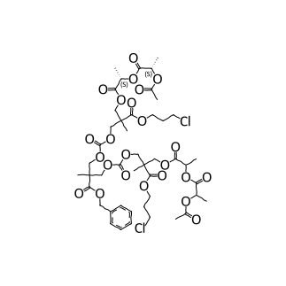 CC(=O)OC(C)C(=O)OC(C)C(=O)OCC(C)(COC(=O)OCC(C)(COC(=O)OCC(C)(COC(=O)[C@H](C)OC(=O)[C@H](C)OC(C)=O)C(=O)OCCCCl)C(=O)OCc1ccccc1)C(=O)OCCCCl